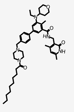 CCCCCCCCCC(=O)N1CCN(Cc2ccc(-c3cc(C(=O)NCc4c(C)cc(C)[nH]c4=O)c(C)c(N(CC)C4CCOCC4)c3)cc2)CC1